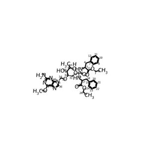 CCOC(=O)C(Cc1ccccc1)NP(=O)(NC(Cc1ccccc1)C(=O)OCC)OC[C@@H](OCn1cnc2c(OC)nc(N)nc21)[C@H](O)C(C)O